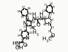 COCCN1CC(c2ccccc2)[C@H](NC(=O)Nc2c(C)c(-c3ccc(C(=O)NO)nc3)nn2-c2ccccc2)C1